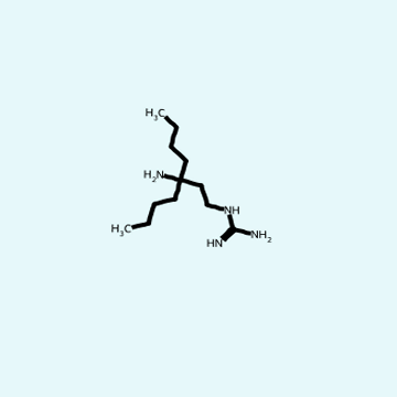 CCCCC(N)(CCCC)CCNC(=N)N